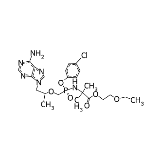 CCOCCOC(=O)C(C)(C)NP(=O)(COC(C)Cn1cnc2c(N)ncnc21)Oc1ccc(Cl)cc1